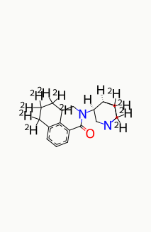 [2H]C1([2H])c2cccc3c2[C@@]([2H])(CN([C@@H]2CN4CC[C@H]2C([2H])([2H])C4([2H])[2H])C3=O)C([2H])([2H])C1([2H])[2H]